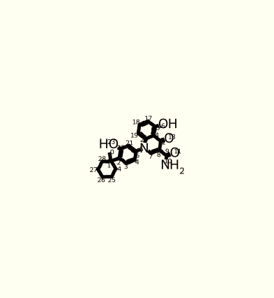 CC1(c2ccc(-n3cc(C(N)=O)c(=O)c4c(O)cccc43)cc2O)CCCCC1